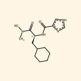 CN(C#N)C(=O)[C@H](CC1CCCCC1)NC(=O)c1c[nH]cn1